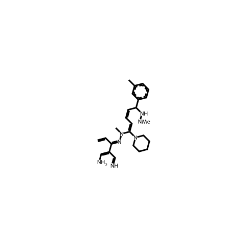 C=CC(=N\N(C)/C(=C\C=C/C(NNC)c1cccc(C)c1)N1CCCCC1)/C(C=N)=C/N